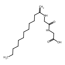 C=C(CCCCCCCCCCC)NCC(=O)NCC(=O)O